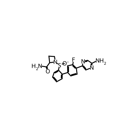 NC(=O)C1CCN1[S+]([O-])c1ccccc1-c1ccc(-c2cnc(N)cn2)c(F)c1